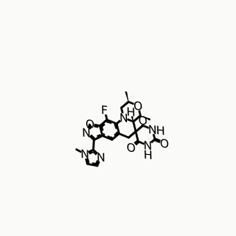 C[C@@H]1CN2c3c(cc4c(-c5nccn5C)noc4c3F)CC3(C(=O)NC(=O)NC3=O)[C@H]2[C@H](C)O1